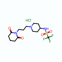 Cl.O=C1CCCC(=O)N1CCCN1CCC(NS(=O)(=O)C(F)(F)F)CC1